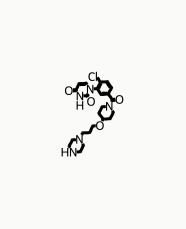 O=C(c1ccc(Cl)c(-n2ccc(=O)[nH]c2=O)c1)N1CCC(OCCCN2CCNCC2)CC1